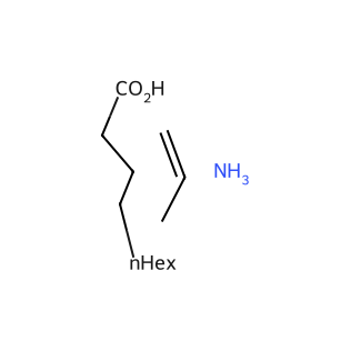 C=CC.CCCCCCCCCC(=O)O.N